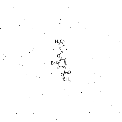 CCCCOc1ccc(C(=O)OC)cc1Br